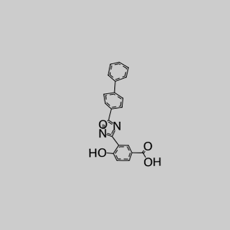 O=C(O)c1ccc(O)c(-c2noc(-c3ccc(-c4ccccc4)cc3)n2)c1